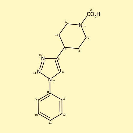 O=C(O)N1CCC(c2cn(-c3ccccc3)nn2)CC1